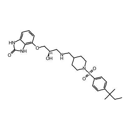 CCC(C)(C)c1ccc(S(=O)(=O)N2CCC(CNC[C@@H](O)COc3cccc4[nH]c(=O)[nH]c34)CC2)cc1